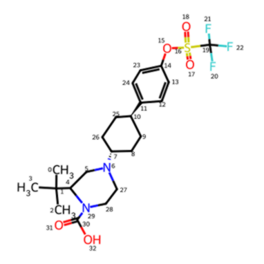 CC(C)(C)C1CN([C@H]2CC[C@H](c3ccc(OS(=O)(=O)C(F)(F)F)cc3)CC2)CCN1C(=O)O